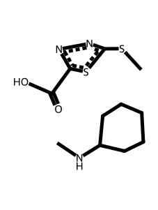 CNC1CCCCC1.CSc1nnc(C(=O)O)s1